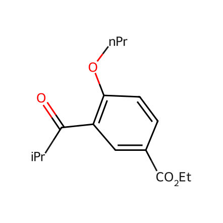 CCCOc1ccc(C(=O)OCC)cc1C(=O)C(C)C